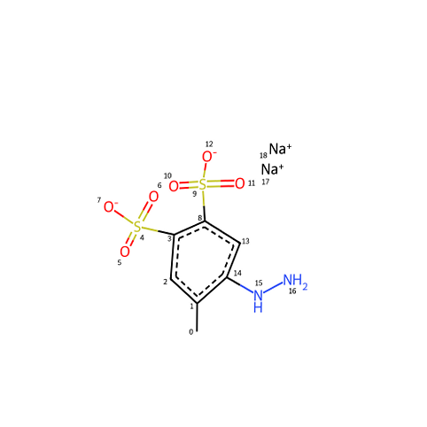 Cc1cc(S(=O)(=O)[O-])c(S(=O)(=O)[O-])cc1NN.[Na+].[Na+]